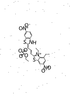 CCOS(=O)(=O)[O-].CCc1cc([N+](=O)[O-])cc2sc(C=CC=C3Nc4ccc([N+](=O)[O-])cc4S3)[n+](CC)c12